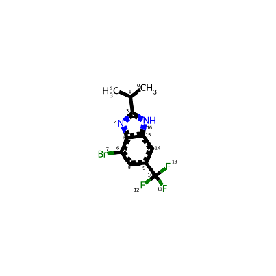 CC(C)c1nc2c(Br)cc(C(F)(F)F)cc2[nH]1